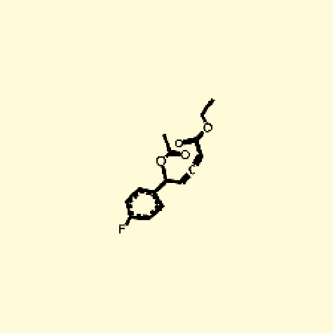 CCOC(=O)C=C=CC(OC(C)=O)c1ccc(F)cc1